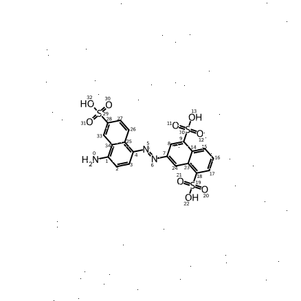 Nc1ccc(N=Nc2cc(S(=O)(=O)O)c3cccc(S(=O)(=O)O)c3c2)c2ccc(S(=O)(=O)O)cc12